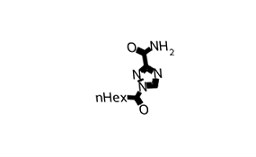 CCCCCCC(=O)n1cnc(C(N)=O)n1